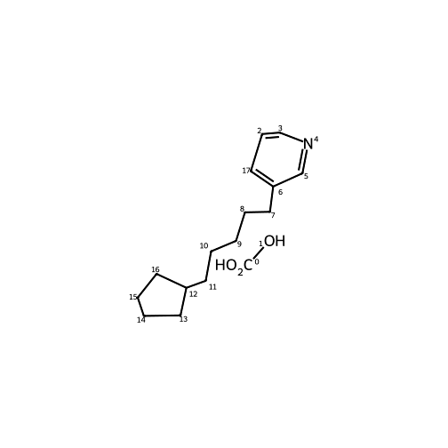 O=C(O)O.c1cncc(CCCCCC2CCCC2)c1